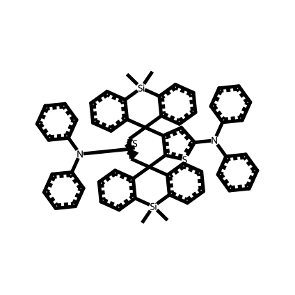 C[Si]1(C)c2ccccc2C2(c3ccccc31)c1cc(N(c3ccccc3)c3ccccc3)sc1C1(c3ccccc3[Si](C)(C)c3ccccc31)c1cc(N(c3ccccc3)c3ccccc3)sc12